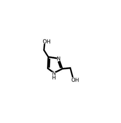 OCc1c[nH]c(CO)n1